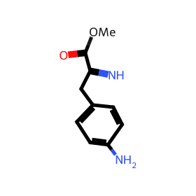 COC(=O)C(=N)Cc1ccc(N)cc1